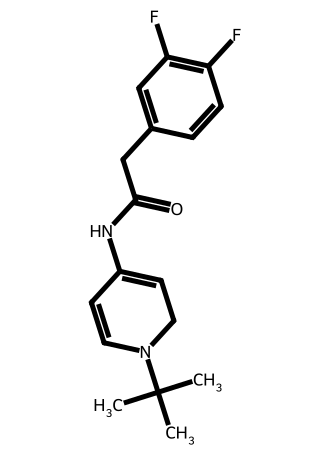 CC(C)(C)N1C=CC(NC(=O)Cc2ccc(F)c(F)c2)=CC1